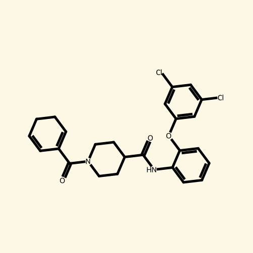 O=C(Nc1ccccc1Oc1cc(Cl)cc(Cl)c1)C1CCN(C(=O)C2=CCCC=C2)CC1